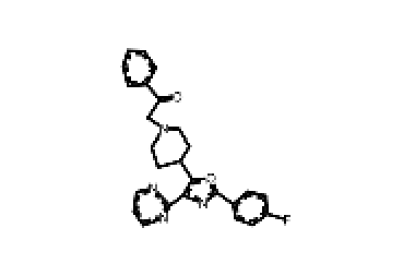 O=C(CN1CCC(c2oc(-c3ccc(F)cc3)nc2-c2ncccn2)CC1)c1ccccc1